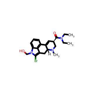 CCN(CC)C(=O)[C@@H]1C=C2c3cccc4c3c(c(Br)n4CO)C[C@H]2N(C)C1